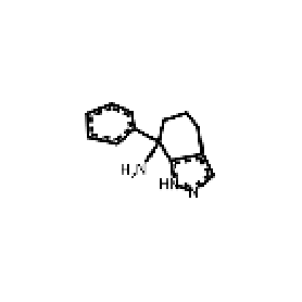 NC1(c2ccccc2)CCCc2cn[nH]c21